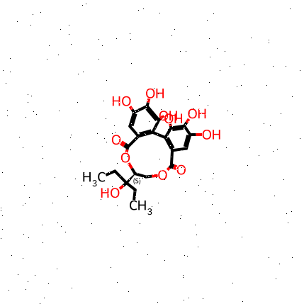 CCC(O)(CC)[C@@H]1COC(=O)c2cc(O)c(O)c(O)c2-c2c(cc(O)c(O)c2O)C(=O)O1